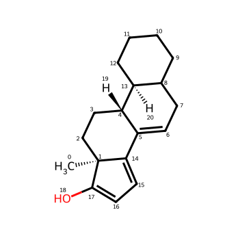 C[C@]12CC[C@H]3C(=CCC4CCCC[C@@H]43)C1=CC=C2O